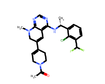 CC(=O)N1CC=C(C2=Cc3c(N[C@H](C)c4cccc(C(F)F)c4Cl)ncnc3N(C)C2)CC1